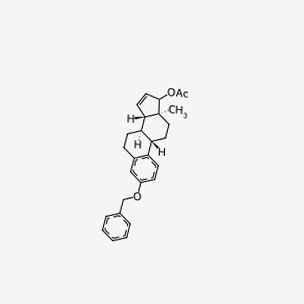 CC(=O)OC1C=C[C@H]2[C@@H]3CCc4cc(OCc5ccccc5)ccc4[C@H]3CC[C@]12C